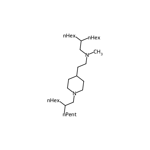 CCCCCCC(CCCCCC)CN(C)CCC1CCN(CC(CCCCC)CCCCCC)CC1